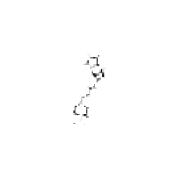 O=C(CCN1CCS(=O)(=O)CC1)OC1CC2CC1C1CCCC21